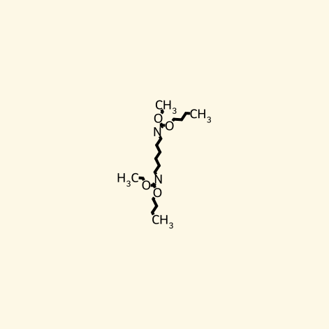 CCCCOC(=NCCCCCCN=C(OCC)OCCCC)OCC